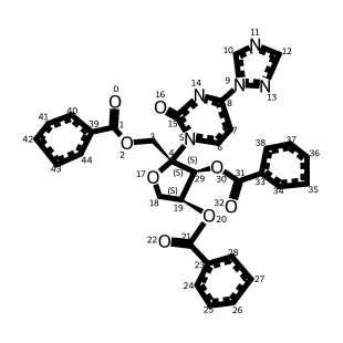 O=C(OC[C@]1(n2ccc(-n3cncn3)nc2=O)OC[C@H](OC(=O)c2ccccc2)[C@@H]1OC(=O)c1ccccc1)c1ccccc1